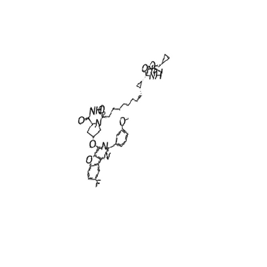 COc1cccc(-c2nc(O[C@@H]3C[C@@H](C(N)=O)N(C(=O)CCCCCC/C=C\[C@@H]4C[C@@H]4C(=O)N[SH](=O)(I)C4CC4)C3)c3oc4ccc(F)cc4c3n2)c1